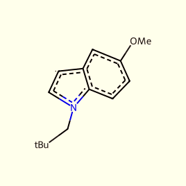 COc1ccc2c([c]cn2CC(C)(C)C)c1